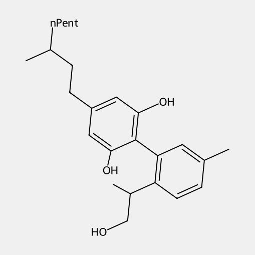 CCCCCC(C)CCc1cc(O)c(-c2cc(C)ccc2C(C)CO)c(O)c1